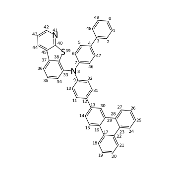 c1ccc(-c2ccc(N(c3ccc(-c4ccc5c6ccccc6c6ccccc6c5c4)cc3)c3cccc4c3sc3ncccc34)cc2)cc1